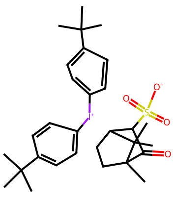 CC(C)(C)c1ccc([I+]c2ccc(C(C)(C)C)cc2)cc1.CC12CCC(C(S(=O)(=O)[O-])C1=O)C2(C)C